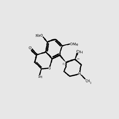 COc1cc(OC)c2c(=O)cc(S)oc2c1[C@@H]1CCN(C)C[C@@H]1O